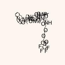 CCC(C)C(C(CC(=O)N1CCC[C@H]1C(OC)C(C)C(=O)NC(Cc1ccccc1)c1nccs1)OC)N(C)C(=O)C(NC(=O)C(C)(C)NC(=O)CCOCCOCCC(=O)Oc1c(F)c(F)c(F)c(F)c1F)C(C)C